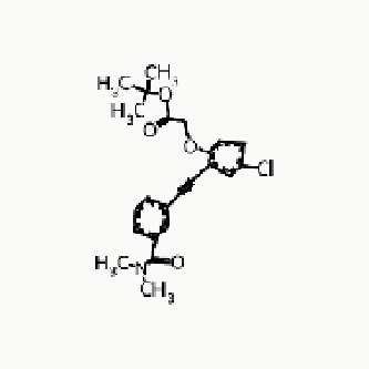 CN(C)C(=O)c1cccc(C#Cc2cc(Cl)ccc2OCC(=O)OC(C)(C)C)c1